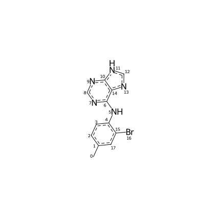 Cc1ccc(Nc2ncnc3[nH]cnc23)c(Br)c1